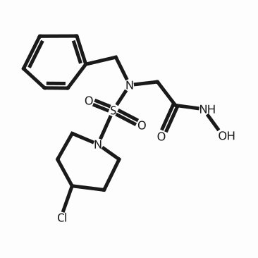 O=C(CN(Cc1ccccc1)S(=O)(=O)N1CCC(Cl)CC1)NO